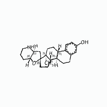 C[C@]12CC[C@@H]3c4ccc(O)cc4CC[C@H]3[C@@H]1CC[C@@]21C[C@@H]2NCCC[C@H]2O1